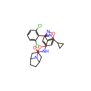 O=C(Nc1ccncc1)N1C2CCC1CC(OCc1c(-c3c(Cl)cccc3Cl)noc1C1CC1)C2